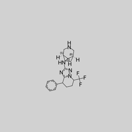 FC(F)(F)C1CCC(c2ccccc2)c2nc(N[C@@H]3[C@@H]4CC[C@H]3CNC4)nn21